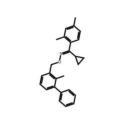 Cc1ccc(C(=NOCc2cccc(-c3ccccc3)c2C)C2CC2)c(C)c1